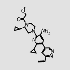 C=Cc1cc(-c2cc(N)c(N3CCN(C(=O)COC)[C@H](C4CC4)C3)nc2C2CC2)cnn1